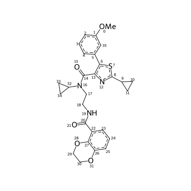 COc1cccc(-c2sc(C3CC3)nc2C(=O)N(CCNC(=O)c2cccc3c2OCCO3)C2CC2)c1